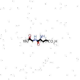 CC(C)(C)C(=O)CNC(=O)[C@@H](N)CCC(=O)O